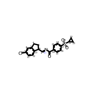 O=C(/N=C/C1CCc2cc(Cl)ccc21)c1ccc(S(=O)(=O)C2CC2)cc1